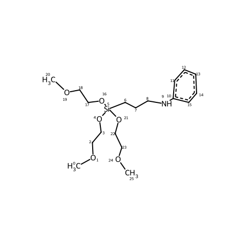 COCCO[Si](CCCNc1ccccc1)(OCCOC)OCCOC